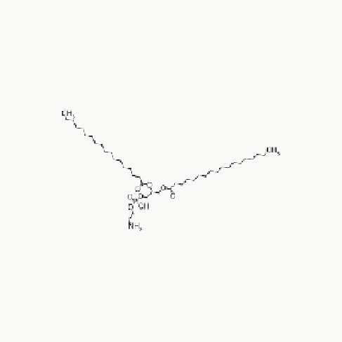 CCCCCCCCCCCCCCCCCC(=O)OCC(COP(=O)(O)OCCN)OC(=O)CCCCCCCCCCCCCCCCC